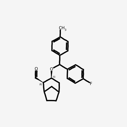 Cc1ccc(C(O[C@H]2CC3CCC(C3)[C@H]2C=O)c2ccc(F)cc2)cc1